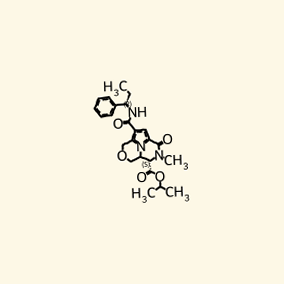 CC[C@@H](NC(=O)c1cc2n3c1COCC3[C@@H](C(=O)OC(C)C)N(C)C2=O)c1ccccc1